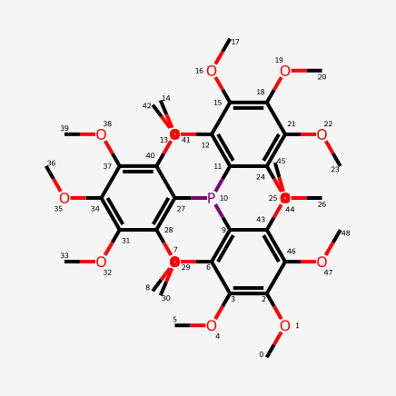 COc1c(OC)c(OC)c(P(c2c(OC)c(OC)c(OC)c(OC)c2OC)c2c(OC)c(OC)c(OC)c(OC)c2OC)c(OC)c1OC